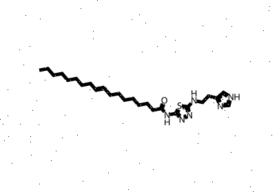 CCCCCCCC/C=C/CCCCCCCC(=O)Nc1nnc(NCCc2c[nH]cn2)s1